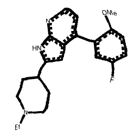 CCN1CCC(c2cc3c(-c4cc(F)ccc4OC)ccnc3[nH]2)CC1